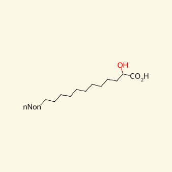 CCCCCCCCCCCCCCCCCCCC(O)C(=O)O